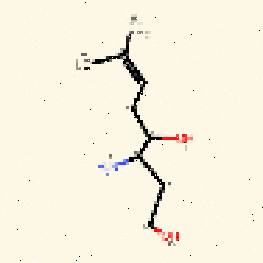 CC(=CCC(O)C(N)CCO)C(=O)O